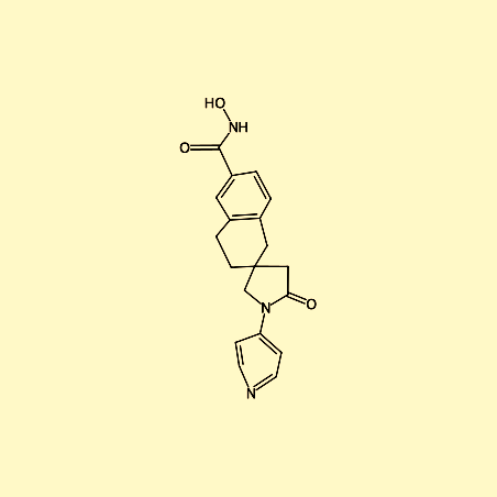 O=C(NO)c1ccc2c(c1)CCC1(CC(=O)N(c3ccncc3)C1)C2